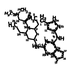 CCC1CC(Nc2nc(Nc3cc(C)[nH]n3)c3ccsc3n2)CC(CC)N1C(=O)CN(C)C